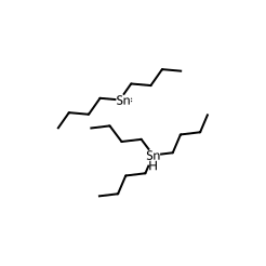 CCC[CH2][SnH]([CH2]CCC)[CH2]CCC.CCC[CH2][Sn][CH2]CCC